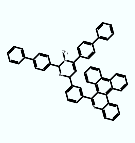 CN1C(c2ccc(-c3ccccc3)cc2)=CC(c2cccc(-c3nc4ccccc4c4c5ccccc5c5ccccc5c34)c2)NC1c1ccc(-c2ccccc2)cc1